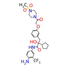 CS(=O)(=O)N1CCN(C(=O)COc2cccc(CC(O)(C(=O)Nc3ccc(N)c(C(F)(F)F)c3)C3CCCC3)c2)CC1